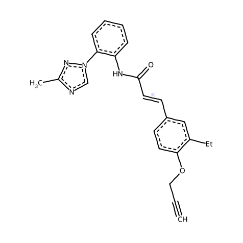 C#CCOc1ccc(/C=C/C(=O)Nc2ccccc2-n2cnc(C)n2)cc1CC